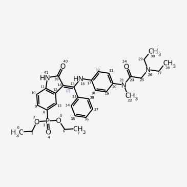 CCOP(=O)(OCC)c1ccc2c(c1)/C(=C(/Nc1ccc(N(C)C(=O)CN(CC)CC)cc1)c1ccccc1)C(=O)N2